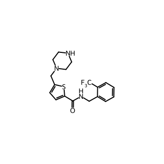 O=C(NCc1ccccc1C(F)(F)F)c1ccc(CN2CCNCC2)s1